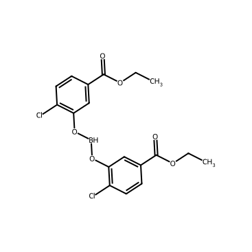 CCOC(=O)c1ccc(Cl)c(OBOc2cc(C(=O)OCC)ccc2Cl)c1